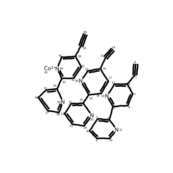 C#Cc1ccc(-c2ccccn2)nc1.C#Cc1ccc(-c2ccccn2)nc1.C#Cc1ccc(-c2ccccn2)nc1.[Co+2]